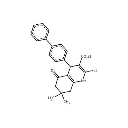 CCOC(=O)C1=C(CC)NC2=C(C(=O)CC(C)(C)C2)C1c1ccc(-c2ccccc2)cc1